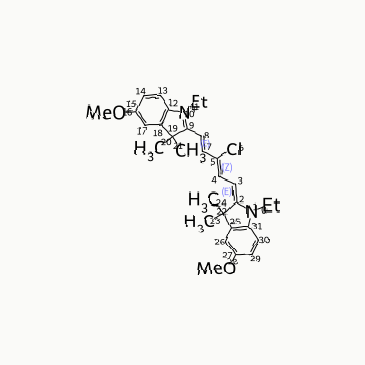 CCN1/C(=C/C=C(Cl)/C=C/C2=[N+](CC)c3ccc(OC)cc3C2(C)C)C(C)(C)c2cc(OC)ccc21